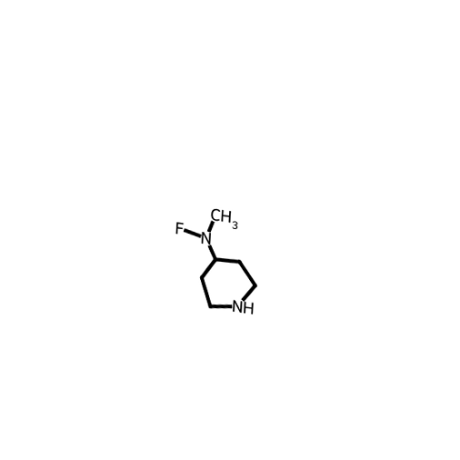 CN(F)C1CCNCC1